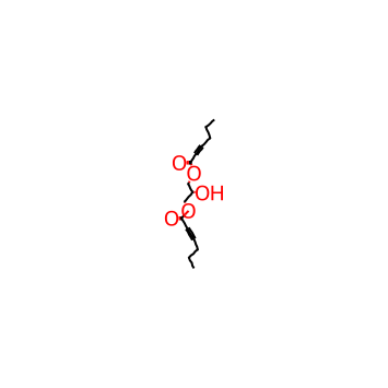 CCCC#CC(=O)OCC(O)COC(=O)C#CCCC